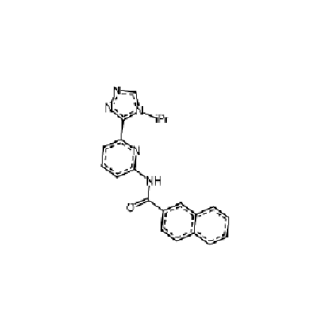 CC(C)n1cnnc1-c1cccc(NC(=O)c2ccc3ccccc3c2)n1